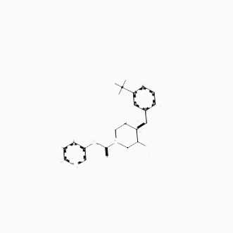 CC1CN(C(=O)Nc2cccnc2)CC/C1=C\c1cccc(C(C)(F)F)c1